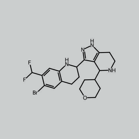 FC(F)c1cc2c(cc1Br)CCC(c1n[nH]c3c1C(C1CCOCC1)NCC3)N2